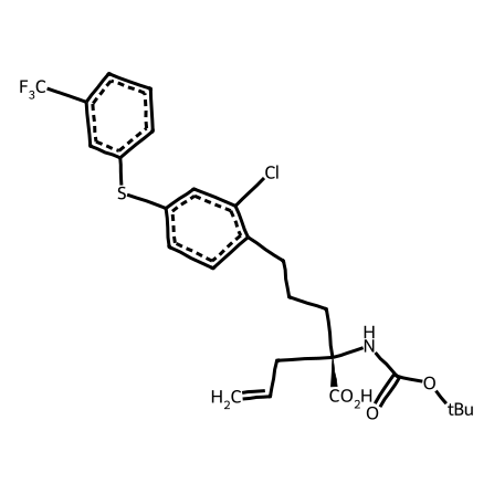 C=CC[C@](CCCc1ccc(Sc2cccc(C(F)(F)F)c2)cc1Cl)(NC(=O)OC(C)(C)C)C(=O)O